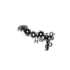 CCOC(=O)COc1c(C(=O)OC)sc(-c2cccc(NC3CCN(c4ccc(NS(C)(=O)=O)cn4)CC3)c2)c1Br